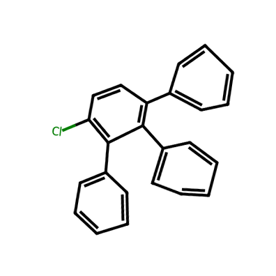 Clc1ccc(-c2ccccc2)c(-c2ccccc2)c1-c1ccccc1